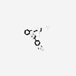 COC(=O)[C@H](C)NC(=O)[C@H](Cc1ccccc1)n1cc(-c2ccc(S(N)(=O)=O)cc2)nn1